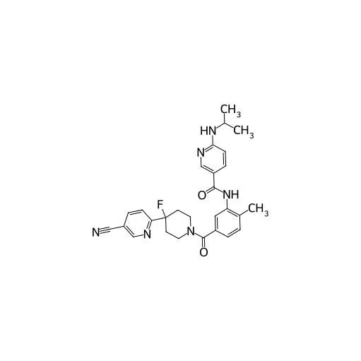 Cc1ccc(C(=O)N2CCC(F)(c3ccc(C#N)cn3)CC2)cc1NC(=O)c1ccc(NC(C)C)nc1